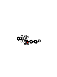 CCOc1ccc(-c2ccc(C(=O)CC(CCN3C(=O)c4ccccc4C3=O)(C(=O)OC(C)(C)C)C(=O)OC(C)(C)C)cc2)cc1